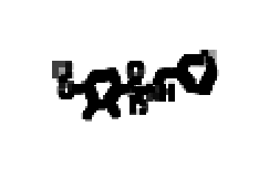 CCOc1ccc(S(=O)(=O)NCc2cccnc2)c(C)c1C